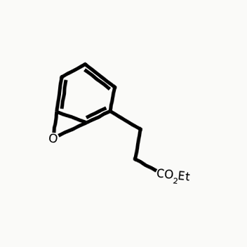 CCOC(=O)CCc1cccc2c1O2